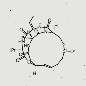 C/C=C1\NC(=O)[C@H]2CS[S+]([O-])CC/C=C/[C@H](CC(=O)N[C@H](C(C)C)C(=O)N2)OC(=O)[C@H](C(C)C)NC1=O